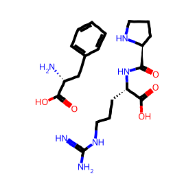 N=C(N)NCCC[C@H](NC(=O)[C@@H]1CCCN1)C(=O)O.N[C@H](Cc1ccccc1)C(=O)O